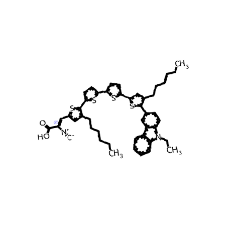 [C-]#[N+]/C(=C\c1cc(CCCCCC)c(-c2ccc(-c3ccc(-c4cc(CCCCCC)c(-c5ccc6c(c5)c5ccccc5n6CC)s4)s3)s2)s1)C(=O)O